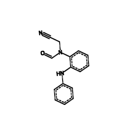 N#CCN(C=O)c1ccccc1Nc1ccccc1